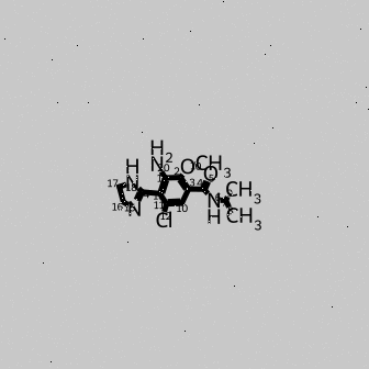 COc1c(C(=O)NC(C)C)cc(Cl)c(C2=NCCN2)c1N